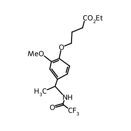 CCOC(=O)CCCOc1ccc(C(C)NC(=O)C(F)(F)F)cc1OC